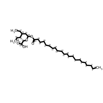 CCCCCCCCCCCCCCCCCCCCCC(=O)OC(CC(CC)CCC)OCC(C)O